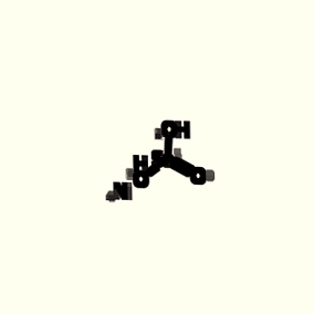 O=[Se](O)O.[Ni]